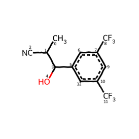 CC(C#N)C(O)c1cc(C(F)(F)F)cc(C(F)(F)F)c1